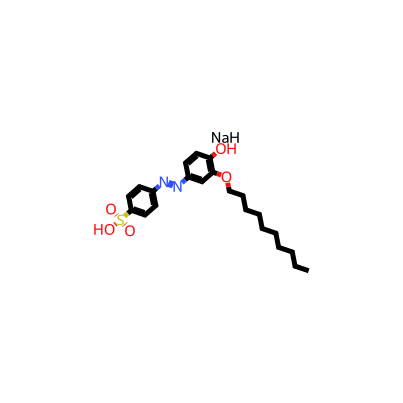 CCCCCCCCCCOc1cc(/N=N/c2ccc(S(=O)(=O)O)cc2)ccc1O.[NaH]